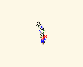 Cc1cccc(CN2CCC(N(C)c3cc(F)c(S(=O)(=O)Nc4cscn4)cc3Cl)C2)c1F